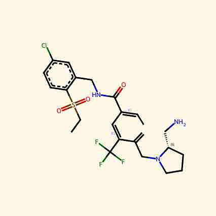 C=C(CN1CCC[C@H]1CN)/C(=C\C(=C/C)C(=O)NCc1cc(Cl)ccc1S(=O)(=O)CC)C(F)(F)F